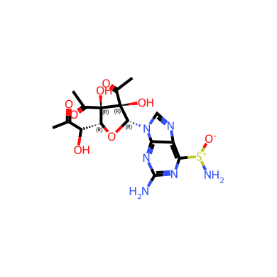 CC(=O)C(O)[C@H]1O[C@@H](n2cnc3c([S+](N)[O-])nc(N)nc32)[C@@](O)(C(C)=O)[C@@]1(O)C(C)=O